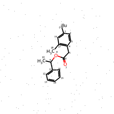 CCC(C)c1ccc(CC(=O)OC(C)c2ccccc2)c(C)c1